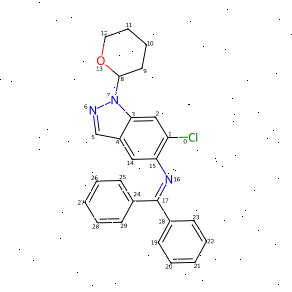 Clc1cc2c(cnn2C2CCCCO2)cc1N=C(c1ccccc1)c1ccccc1